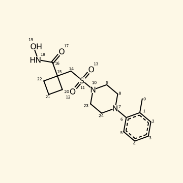 Cc1ccccc1N1CCN(S(=O)(=O)CC2(C(=O)NO)CCC2)CC1